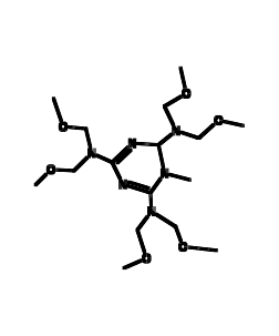 COCN(COC)C1=NC(N(COC)COC)N(C)C(N(COC)COC)=N1